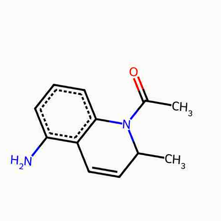 CC(=O)N1c2cccc(N)c2C=CC1C